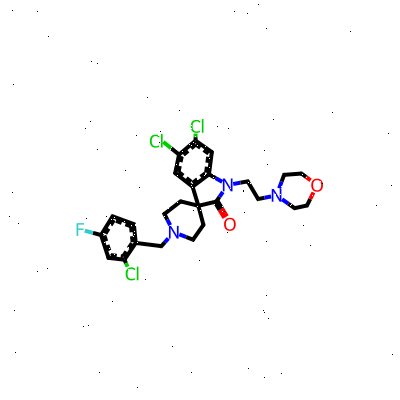 O=C1N(CCN2CCOCC2)c2cc(Cl)c(Cl)cc2C12CCN(Cc1ccc(F)cc1Cl)CC2